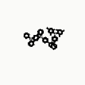 Cc1cc(C)c(B(c2ccc(C34CC5CC(C3)CC(c3ccc(-n6c7ccccc7c7cc8c(cc76)c6ccccc6n8-c6ccccc6)cc3)(C5)C4)cc2)c2c(C)cc(C)cc2C)c(C)c1